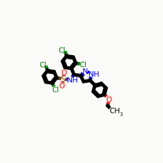 CCOc1ccc(C2CC(C(NS(=O)(=O)c3cc(Cl)ccc3Cl)c3ccc(Cl)cc3Cl)=NN2)cc1